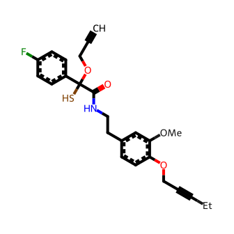 C#CCOC(S)(C(=O)NCCc1ccc(OCC#CCC)c(OC)c1)c1ccc(F)cc1